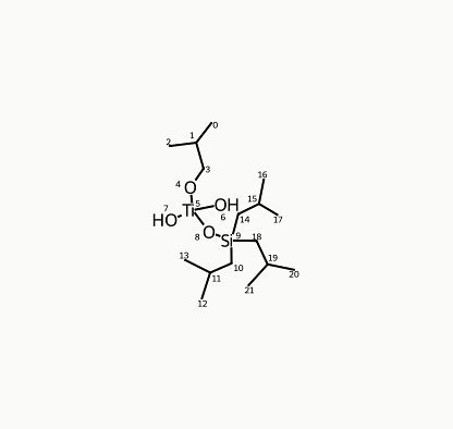 CC(C)C[O][Ti]([OH])([OH])[O][Si](CC(C)C)(CC(C)C)CC(C)C